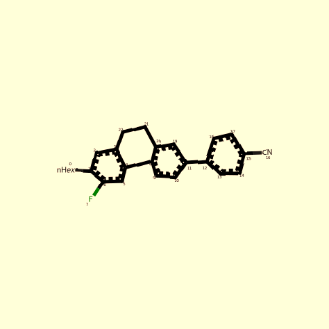 CCCCCCc1cc2c(cc1F)-c1ccc(-c3ccc(C#N)cc3)cc1CC2